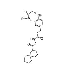 CCN1Cc2cc(CCC(=O)NCC(=O)N3CCCC4(CCCCC4)C3)ccc2NCCC1=O